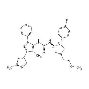 COCCN1C[C@@H](NC(=O)Nc2c(C)c(-c3cnn(C)c3)nn2-c2ccccc2)[C@H](c2ccc(F)cc2)C1